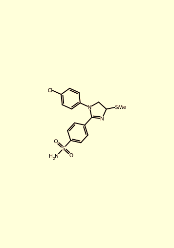 CSC1CN(c2ccc(Cl)cc2)C(c2ccc(S(N)(=O)=O)cc2)=N1